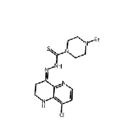 CCN1CCN(C(=S)N/N=C2/CCNc3c(Cl)ccnc32)CC1